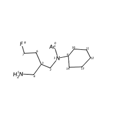 CC(=O)N(CC(CN)CCF)C1CCCCC1